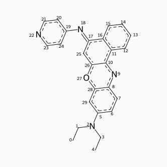 CCN(CC)c1ccc2nc3c4ccccc4c(=Nc4ccncc4)cc-3oc2c1